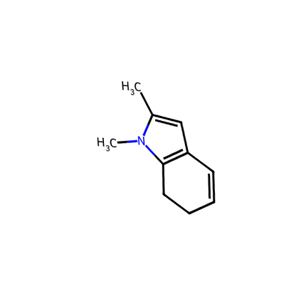 Cc1cc2c(n1C)CCC=C2